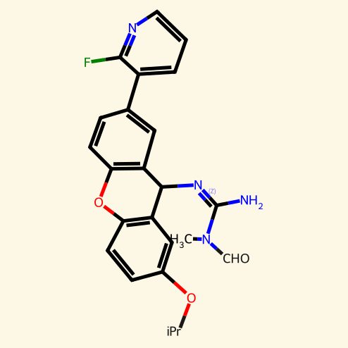 CC(C)Oc1ccc2c(c1)C(/N=C(/N)N(C)C=O)c1cc(-c3cccnc3F)ccc1O2